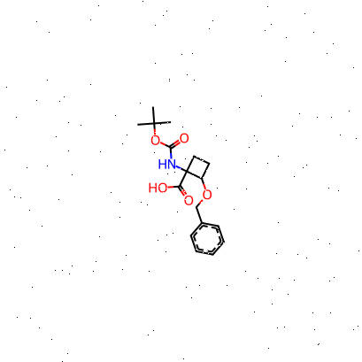 CC(C)(C)OC(=O)NC1(C(=O)O)CCC1OCc1ccccc1